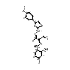 COc1ccc(-c2csc(N/N=C(C)\C(C=O)=N/Nc3ccc(C)cc3O)n2)cc1